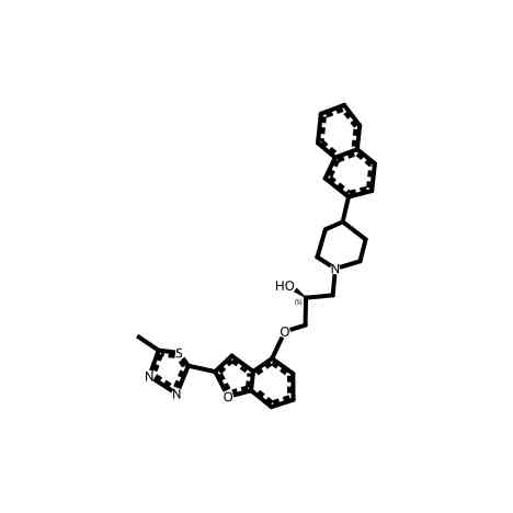 Cc1nnc(-c2cc3c(OC[C@@H](O)CN4CCC(c5ccc6ccccc6c5)CC4)cccc3o2)s1